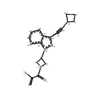 C=C(F)C(=O)N1CC(n2nc(C#CC3CCC3)c3cccnc32)C1